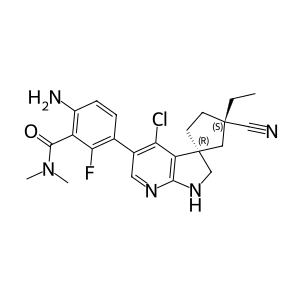 CC[C@]1(C#N)CC[C@@]2(CNc3ncc(-c4ccc(N)c(C(=O)N(C)C)c4F)c(Cl)c32)C1